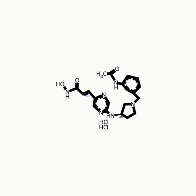 CC(=O)Nc1cccc(CN2CC[C@@H](Nc3cnc(/C=C/C(=O)NO)cn3)C2)c1.Cl.Cl